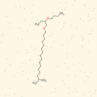 CCCCOC(CC)COCCCCCCCCCCCCCCC(C)C